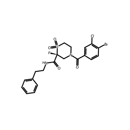 O=C(c1ccc(Br)c(Cl)c1)N1CCS(=O)(=O)[C@@](F)(C(=O)NCCc2ccccc2)C1